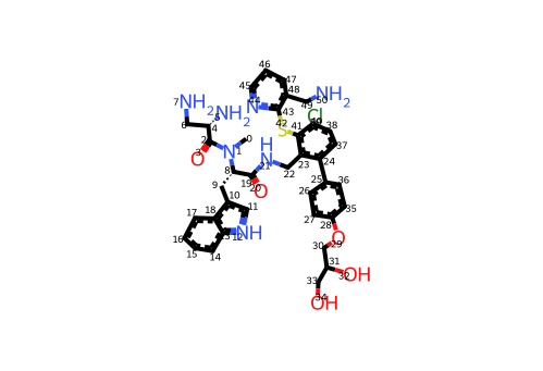 CN(C(=O)[C@@H](N)CN)[C@@H](Cc1c[nH]c2ccccc12)C(=O)NCc1c(-c2ccc(OCC(O)CO)cc2)ccc(Cl)c1Sc1ncccc1CN